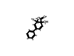 O=CC1(O)C=CC(c2ccccc2)=CC1(F)Cl